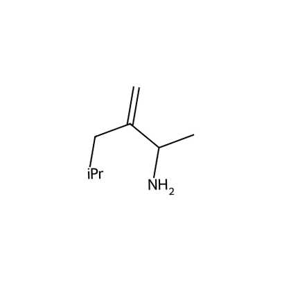 C=C(CC(C)C)C(C)N